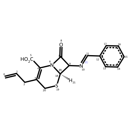 C=CCC1=C(C(=O)O)N2C(=O)C(/N=C/c3ccccc3)[C@H]2SC1